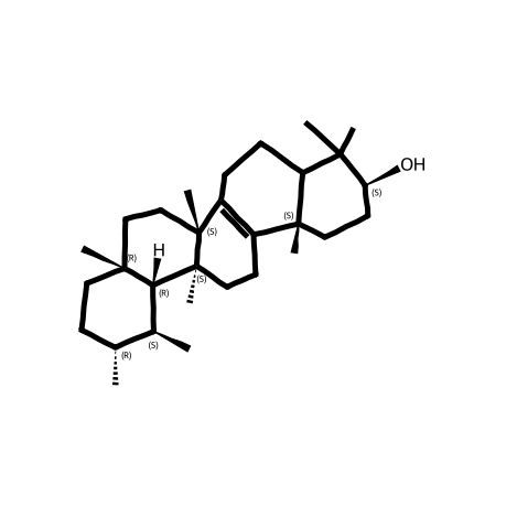 C[C@H]1[C@H](C)CC[C@]2(C)CC[C@]3(C)C4=C(CC[C@@]3(C)[C@H]12)[C@@]1(C)CC[C@H](O)C(C)(C)C1CC4